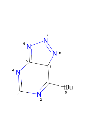 CC(C)(C)C1=NC=NC2=NN=NC21